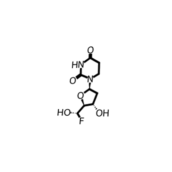 O=C1CCN([C@H]2C[C@H](O)[C@@H]([C@@H](O)F)O2)C(=O)N1